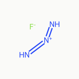 N=[N+]=N.[F-]